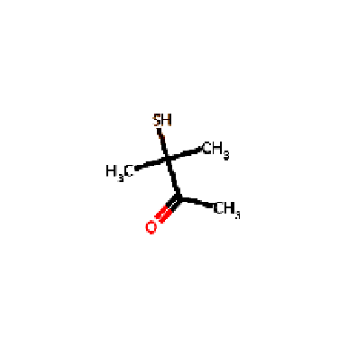 CC(=O)C(C)(C)S